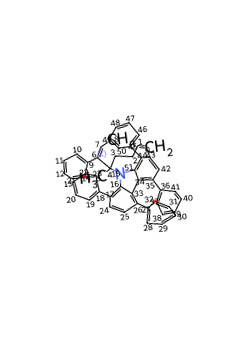 C=CCCC(C)(/C(=C\C)c1ccccc1)n1c2c(-c3ccccc3)ccc(-c3ccccc3)c2c2c(-c3ccccc3)ccc(-c3ccccc3)c21